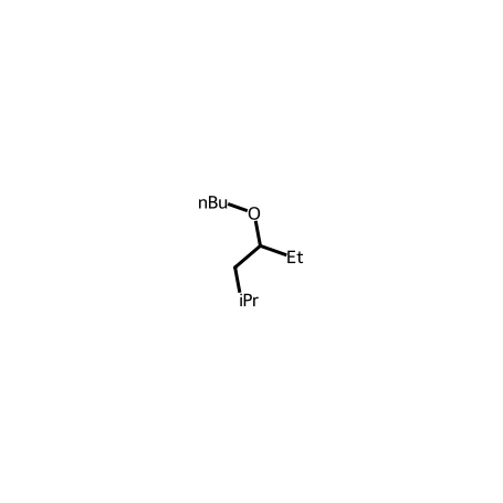 CCCCOC(CC)CC(C)C